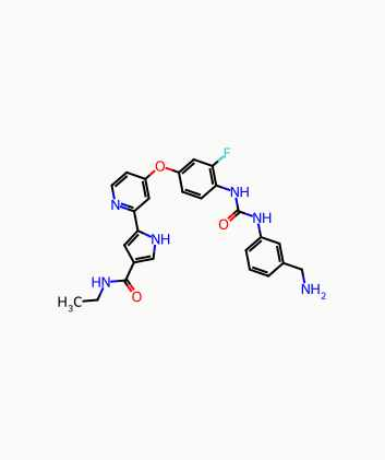 CCNC(=O)c1c[nH]c(-c2cc(Oc3ccc(NC(=O)Nc4cccc(CN)c4)c(F)c3)ccn2)c1